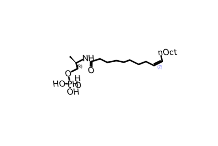 CCCCCCCC/C=C\CCCCCCCC(=O)N[C@H](C)CO[PH](O)(O)O